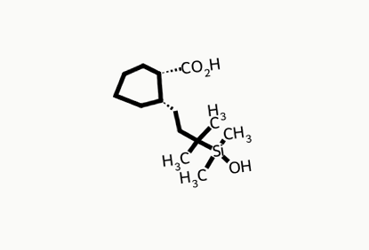 CC(C)(CC[C@@H]1CCCC[C@@H]1C(=O)O)[Si](C)(C)O